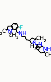 C=C1CC2C=C(N3CC(CCCNCc4c(F)ccc5c4N(C)C(=C)C5)CC3=C)N=C(N1)C2C